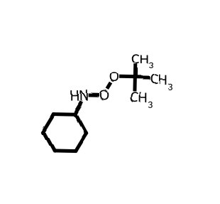 CC(C)(C)OONC1CCCCC1